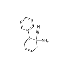 N#CC1(N)CC=CC=C1c1ccccc1